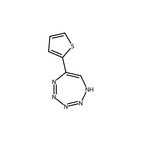 C1=C(c2cccs2)N=NN=NN1